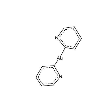 c1cc[c]([Au][c]2ccccn2)nc1